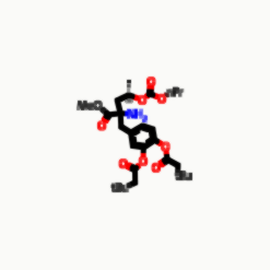 CCCOC(=O)O[C@@H](C)CC(N)(Cc1ccc(OC(=O)CC(C)(C)C)c(OC(=O)CC(C)(C)C)c1)C(=O)OC